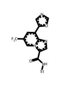 CCNC(=O)c1cnc2c(-c3cnco3)cc(C(F)(F)F)cn12